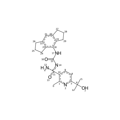 Cc1nc(C(C)(C)O)ccc1S(N)(=O)=NC(=O)Nc1c2c(cc3c1CCC3)CCC2